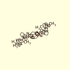 C=C(N[C@H](C(=O)N1CCCC[C@H]1c1nc2cc(-c3cc4ccc3CCc3ccc(c(-c5ccc6[nH]c([C@@H]7CCCCN7C(=O)[C@@H](NC(=O)OC)C(C)C)nc6c5)c3)CC4)ccc2[nH]1)C(C)C)OC